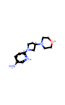 Nc1ccc(N2CCC(N3CCOCC3)C2)nc1